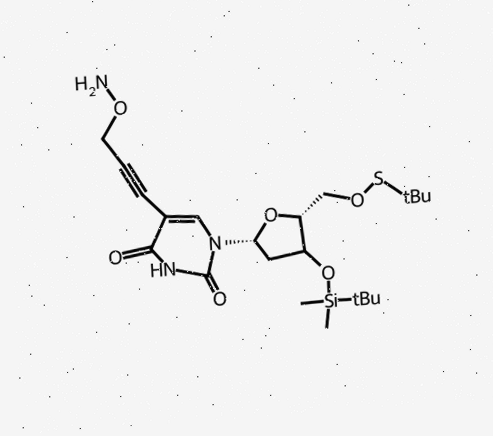 CC(C)(C)SOC[C@H]1O[C@@H](n2cc(C#CCON)c(=O)[nH]c2=O)CC1O[Si](C)(C)C(C)(C)C